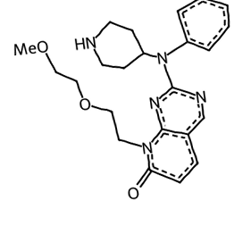 COCCOCCn1c(=O)ccc2cnc(N(c3ccccc3)C3CCNCC3)nc21